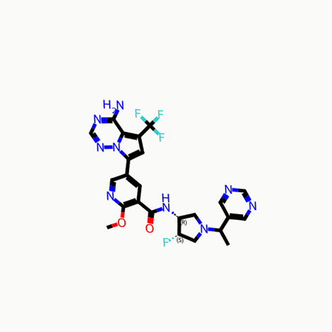 COc1ncc(-c2cc(C(F)(F)F)c3c(N)ncnn23)cc1C(=O)N[C@@H]1CN(C(C)c2cncnc2)C[C@@H]1F